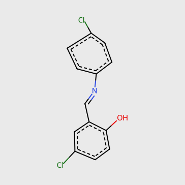 Oc1ccc(Cl)cc1C=Nc1ccc(Cl)cc1